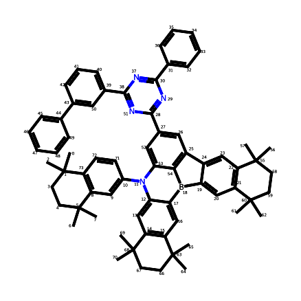 CC1(C)CCC(C)(C)c2cc(N3c4cc5c(cc4B4c6cc7c(cc6-c6cc(-c8nc(-c9ccccc9)nc(-c9cccc(-c%10ccccc%10)c9)n8)cc3c64)C(C)(C)CCC7(C)C)C(C)(C)CCC5(C)C)ccc21